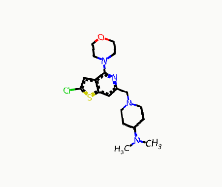 CN(C)C1CCN(Cc2cc3sc(Cl)cc3c(N3CCOCC3)n2)CC1